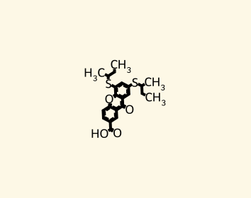 CCC(C)Sc1cc(SC(C)CC)c2oc3ccc(C(=O)O)cc3c(=O)c2c1